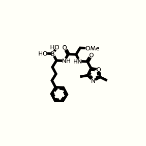 COCC(NC(=O)c1oc(C)nc1C)C(=O)NC(CCCc1ccccc1)B(O)O